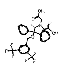 C[C@H](N(CC(=O)O)CC(=O)O)C(OCc1cc(C(F)(F)F)cc(C(F)(F)F)c1)(c1ccccc1)c1ccccc1